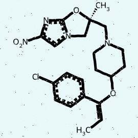 CC=C(OC1CCN(C[C@@]2(C)Cn3cc([N+](=O)[O-])nc3O2)CC1)c1ccc(Cl)cc1